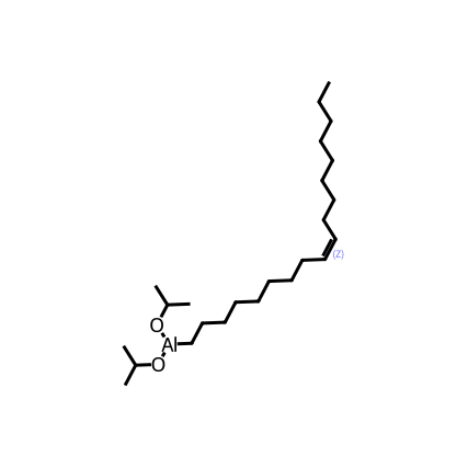 CCCCCCCC/C=C\CCCCCCC[CH2][Al]([O]C(C)C)[O]C(C)C